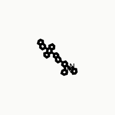 c1ccc2cc(-c3c4ccccc4c(-c4ccc5cc(-c6ccc7c(c6)c6ccccc6n6c8ccccc8nc76)ccc5c4)c4ccccc34)ccc2c1